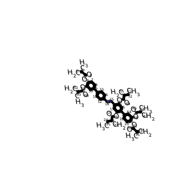 C=C(C)C(=O)Oc1ccc(-c2ccc(/C=C/c3cc(OC(=O)C(=C)CC)c(-c4ccc(OC(=O)C(=C)C)c(OC(=O)C(=C)C)c4)cc3OC(=O)C(=C)CC)cc2)cc1OC(=O)C(=C)C